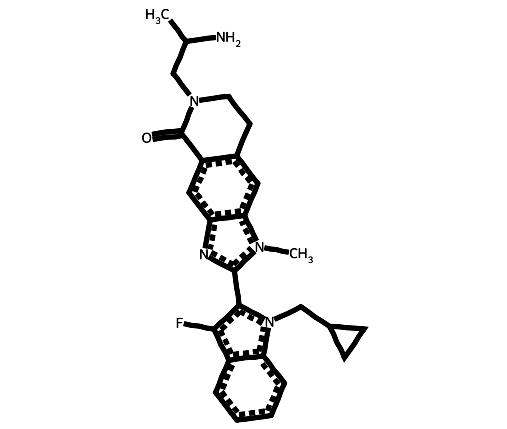 CC(N)CN1CCc2cc3c(cc2C1=O)nc(-c1c(F)c2ccccc2n1CC1CC1)n3C